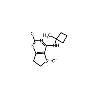 CC1(Nc2nc(Cl)nc3c2[S@+]([O-])CC3)CCC1